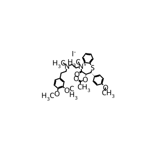 COc1ccc([C@H]2Sc3ccccc3[N+](C)(CCN(C)CCc3ccc(OC)c(OC)c3)C(=O)[C@H]2OC(C)=O)cc1.[I-]